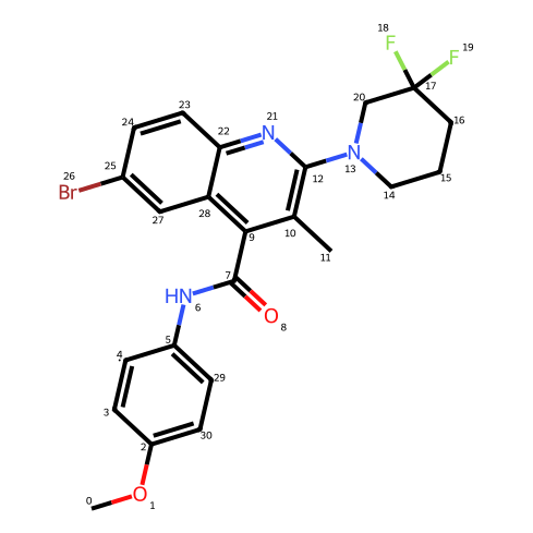 COc1c[c]c(NC(=O)c2c(C)c(N3CCCC(F)(F)C3)nc3ccc(Br)cc23)cc1